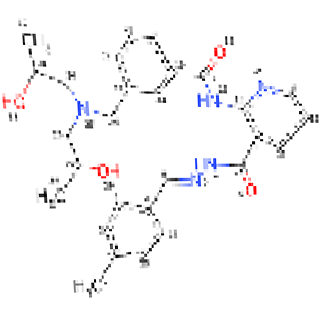 Cc1ccc(C=NNC(=O)c2cccnc2NC(=O)c2cccc(CN(CC(C)O)CC(C)O)c2)cc1